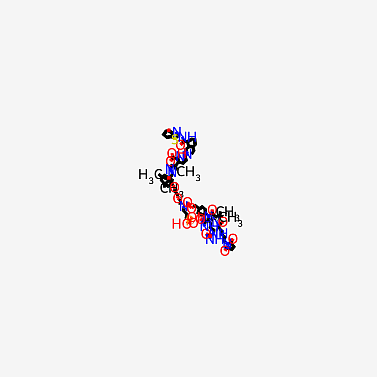 Cc1c(-c2ccc(N3CCc4cccc(C(=O)Nc5nc6ccccc6s5)c4C3)nc2C(=O)O)cnn1CC12CC3(C)CC(C)(C1)CC(OCCOCCN(CCCP(=O)(O)O)C(=O)OCc1ccc(N(C(=O)[C@@H](NC(=O)CCCCCN4C(=O)C=CC4=O)C(C)C)[C@@H](CCCNC(N)=O)C(N)=O)cc1)(C3)C2